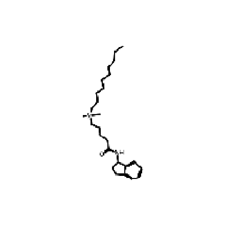 CCCCCCCCCC[Si](C)(C)CCCCC(=O)NC1CCc2ccccc21